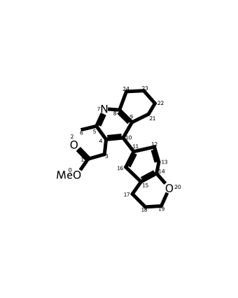 COC(=O)Cc1c(C)nc2c(c1-c1ccc3c(c1)CCCO3)CCCC2